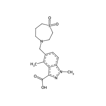 Cc1c(CN2CCCS(=O)(=O)CC2)ccc2c1c(C(=O)O)nn2C